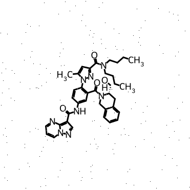 CCCCN(CCCC)C(=O)c1cc(C)n(-c2ccc(NC(=O)c3cnn4cccnc34)cc2C(=O)N2Cc3ccccc3C[C@H]2CO)n1